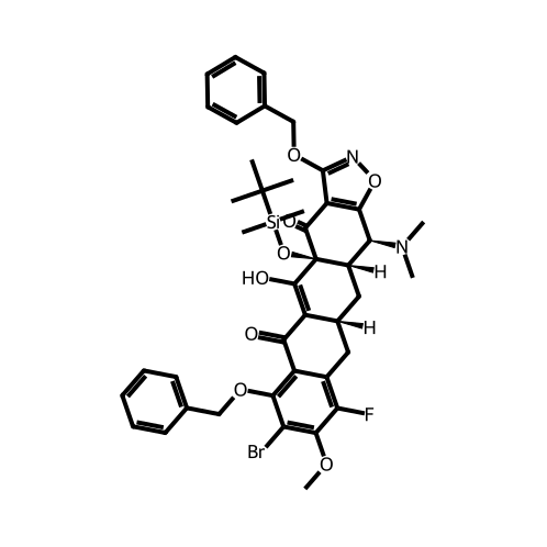 COc1c(F)c2c(c(OCc3ccccc3)c1Br)C(=O)C1=C(O)[C@]3(O[Si](C)(C)C(C)(C)C)C(=O)c4c(OCc5ccccc5)noc4[C@@H](N(C)C)[C@@H]3C[C@@H]1C2